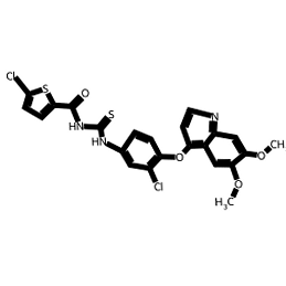 COc1cc2nccc(Oc3ccc(NC(=S)NC(=O)c4ccc(Cl)s4)cc3Cl)c2cc1OC